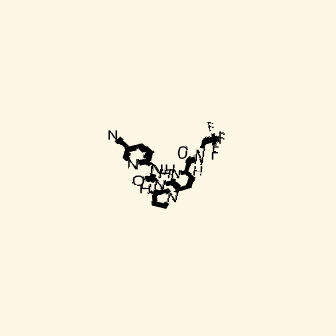 N#Cc1ccc(NC(=O)N2C3=C(C=CC(C(=O)NCC(F)(F)F)N3)N3CC[C@H]2C3)nc1